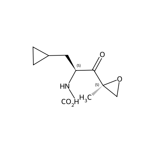 C[C@@]1(C(=O)[C@H](CC2CC2)NC(=O)O)CO1